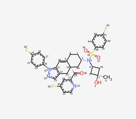 C[C@]1(O)C[C@@H](N([C@H]2CCC3=Cc4c(cnn4-c4ccc(F)cc4)C[C@]3(C(=O)c3cc(F)ccn3)C2)S(=O)(=O)c2ccc(F)cc2)C1